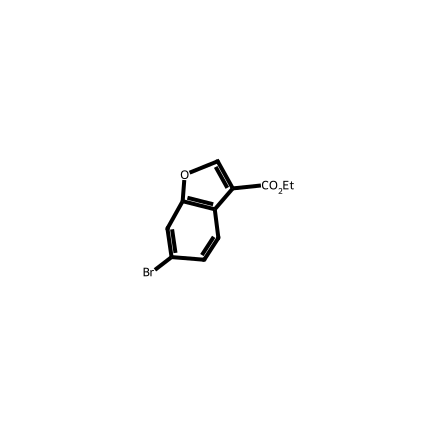 CCOC(=O)c1coc2cc(Br)ccc12